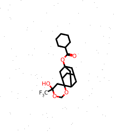 O=C(OC12CC3CC(C1)C1(CC(O)(C(F)(F)F)OCO1)C(C3)C2)C1CCCCC1